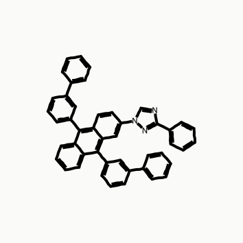 c1ccc(-c2cccc(-c3c4ccccc4c(-c4cccc(-c5ccccc5)c4)c4cc(-n5cnc(-c6ccccc6)n5)ccc34)c2)cc1